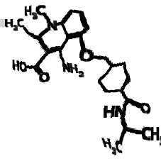 CCC1C(C(=O)O)=C(N)c2c(OCC3CCC(C(=O)NC(C)C)CC3)cccc2N1C